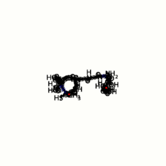 CC1=NN(CCCS)/C2=C/C=C/C=C/C3=[N+](CCCCCC(=O)NC(C(=O)NCCCCCC(=O)NCCCCCC(=O)NC/C=C/c4cn([C@H]5C[C@@H](O)[C@@H](COP(=O)(O)OP(=O)(O)OP(=O)(O)O)O5)c(=O)nc4N)CCCCNC(=O)CCC12C)c1ccc(S(=O)(=O)O)cc1C3(C)CCCS(=O)(=O)O